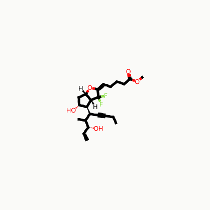 C=C[C@@H](O)C(C)C(C#CCC)[C@@H]1[C@@H]2[C@H](C[C@H]1O)OC(=CCCCC(=O)OC)C2(F)F